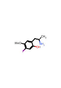 COc1cc(C[C@@H](C)N)c(O)cc1I